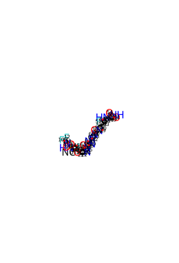 N#Cc1c(NS(=O)(=O)N2C[C@@H](F)[C@H](F)C2)ccc(F)c1Oc1ccc2ncn(-c3cnc(N4CCN(C(=O)CN5CCC(c6ccc(N[C@H]7CCC(=O)NC7=O)cc6F)CC5)CC4)nc3)c(=O)c2c1